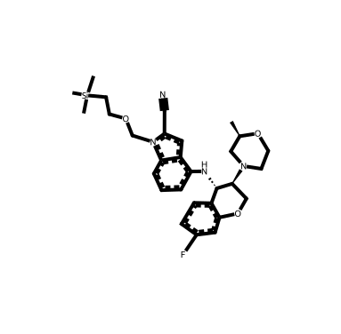 C[C@@H]1CN([C@H]2COc3cc(F)ccc3[C@@H]2Nc2cccc3c2cc(C#N)n3COCC[Si](C)(C)C)CCO1